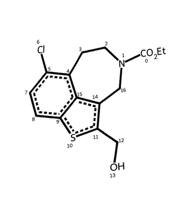 CCOC(=O)N1CCc2c(Cl)ccc3sc(CO)c(c23)C1